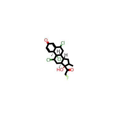 CC1C[C@H]2[C@@H]3CC(Cl)C4=CC(=O)C=C[C@]4(C)[C@@]3(Cl)C(Cl)C[C@]2(C)[C@@]1(O)C(=O)CF